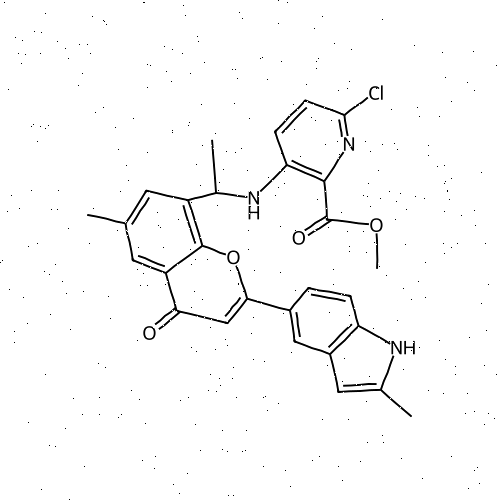 COC(=O)c1nc(Cl)ccc1NC(C)c1cc(C)cc2c(=O)cc(-c3ccc4[nH]c(C)cc4c3)oc12